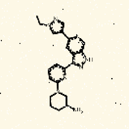 CCn1cc(-c2cc3c(-c4cccc(N5CCCC(N)C5)n4)n[nH]c3cn2)cn1